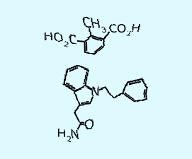 Cc1c(C(=O)O)cccc1C(=O)O.NC(=O)Cc1cn(CCc2ccccc2)c2ccccc12